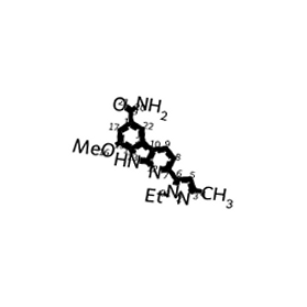 CCn1nc(C)cc1-c1ccc2c(n1)[nH]c1c(OC)cc(C(N)=O)cc12